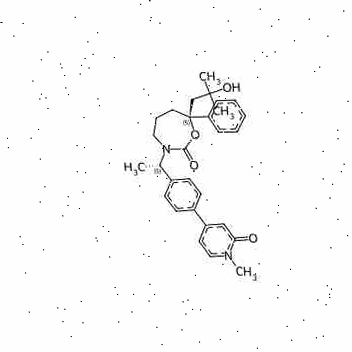 C[C@@H](c1ccc(-c2ccn(C)c(=O)c2)cc1)N1CCC[C@](CC(C)(C)O)(c2ccccc2)OC1=O